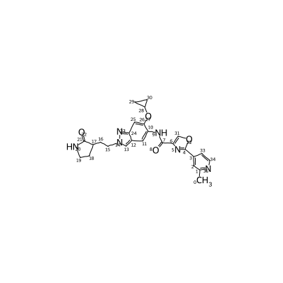 Cc1cc(-c2nc(C(=O)Nc3cc4cn(CCC5CCNC5=O)nc4cc3OC3CC3)co2)ccn1